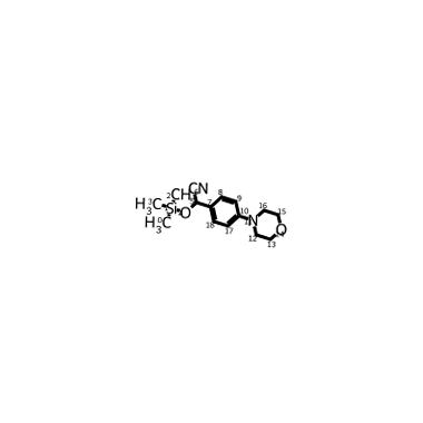 C[Si](C)(C)OC(C#N)c1ccc(N2CCOCC2)cc1